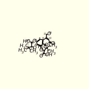 CC(C)(C)C(Oc1ccc2c(C=O)cc(=O)oc2c1OC(C(=O)O)C(C)(C)C)C(=O)O